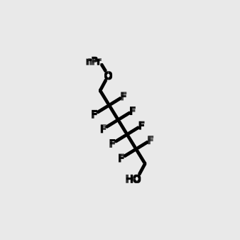 CCCOCC(F)(F)C(F)(F)C(F)(F)C(F)(F)CO